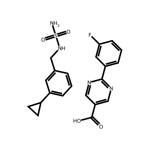 NS(=O)(=O)NCc1cccc(C2CC2)c1.O=C(O)c1cnc(-c2cccc(F)c2)nc1